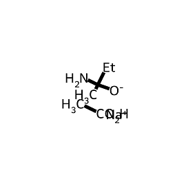 CC(=O)O.CCC(C)(N)[O-].[Na+]